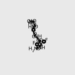 C[C@H](N=O)C(=O)N[C@@H](C)C(=O)Nc1ccc(COC(=O)NCCOC(=O)N2c3cc(F)cc(C(N)=O)c3C(=N)[C@H](C)[C@H]2c2ccc(F)cc2)cc1